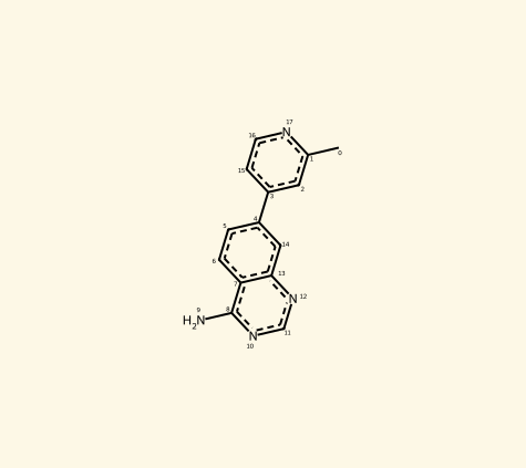 Cc1cc(-c2ccc3c(N)ncnc3c2)ccn1